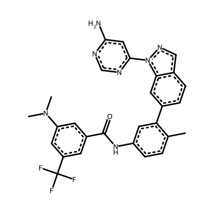 Cc1ccc(NC(=O)c2cc(N(C)C)cc(C(F)(F)F)c2)cc1-c1ccc2cnn(-c3cc(N)ncn3)c2c1